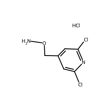 Cl.NOCc1cc(Cl)nc(Cl)c1